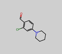 O=Cc1ccc(N2CCCCC2)cc1Cl